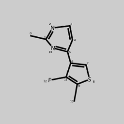 Cc1nccc(-c2csc(C)c2F)n1